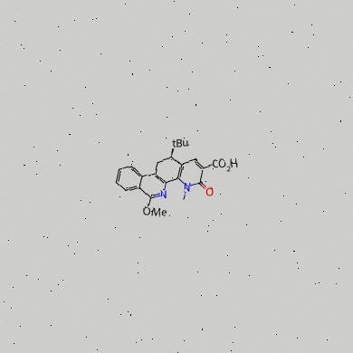 COc1nc2c(c3ccccc13)C[C@@H](C(C)(C)C)c1cc(C(=O)O)c(=O)n(C)c1-2